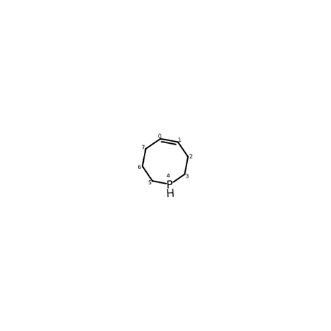 C1=C\CCPCCC/1